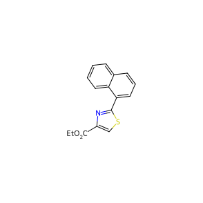 CCOC(=O)c1csc(-c2cccc3ccccc23)n1